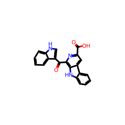 O=C(O)c1cc2c([nH]c3ccccc32)c(C(=O)c2c[nH]c3ccccc23)n1